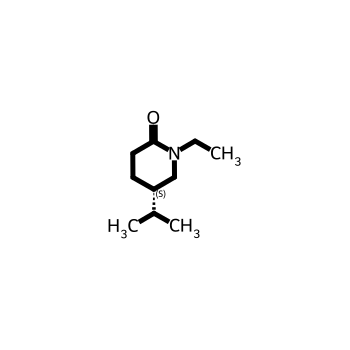 CCN1C[C@H](C(C)C)CCC1=O